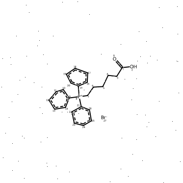 O=C(O)CCCCC[P+](c1ccccc1)(c1ccccc1)c1ccccc1.[Br-]